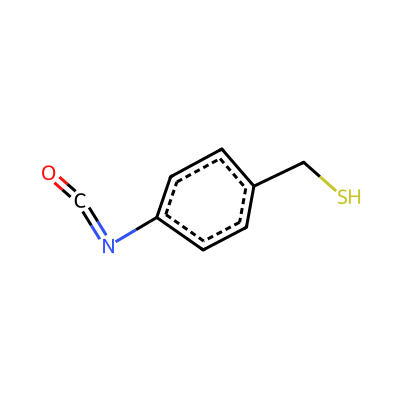 O=C=Nc1ccc(CS)cc1